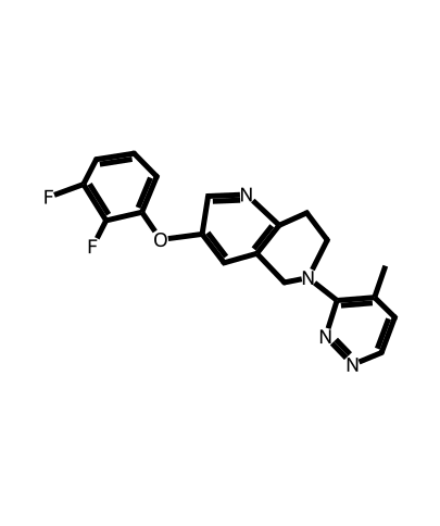 Cc1ccnnc1N1CCc2ncc(Oc3cccc(F)c3F)cc2C1